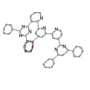 c1ccc(-c2cc(-c3cc(-c4nc(-c5ccccc5)cc(-c5ccccc5)n4)ccn3)nc(-c3ncccc3-c3nc(-c4ccccc4)nc(-c4ccccc4)n3)c2)cc1